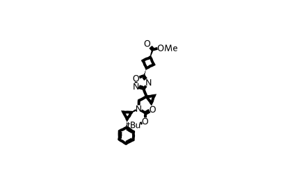 COC(=O)[C@H]1C[C@H](c2nc(C3(CN(C(=O)OC(C)(C)C)[C@@H]4C[C@H]4c4ccccc4)CC3)no2)C1